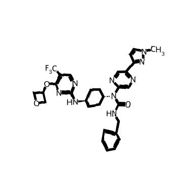 Cn1ccc(-c2cnc(N(C(=O)NCc3ccccc3)[C@H]3CC[C@H](Nc4ncc(C(F)(F)F)c(OC5COC5)n4)CC3)cn2)n1